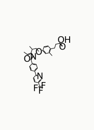 Cc1cc(OCC(C)c2nc(-c3ccc(-c4ccc(C(F)(F)F)cn4)cc3)oc2C)ccc1CCC(=O)O